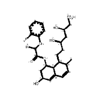 CCC(Oc1ccccc1F)C(=O)OC1CC(O)C=C2C=CC(C)C(CCC(O)CC(O)CC(=O)O)C21